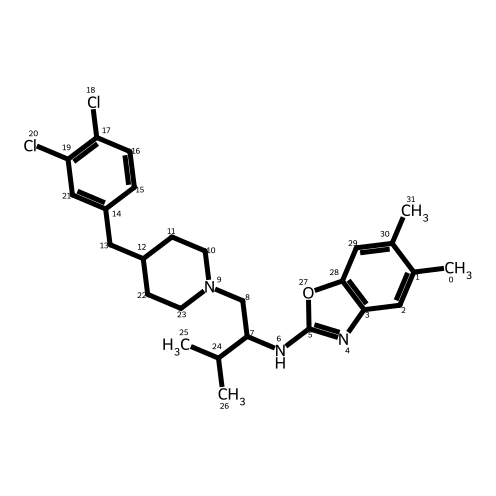 Cc1cc2nc(NC(CN3CCC(Cc4ccc(Cl)c(Cl)c4)CC3)C(C)C)oc2cc1C